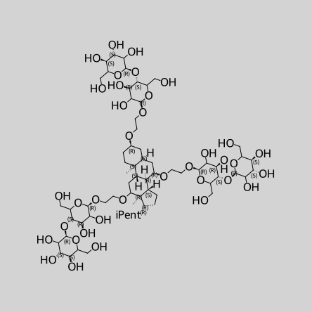 CCC[C@@H](C)[C@H]1CC[C@H]2[C@@H]3[C@H](OCCO[C@@H]4OC(CO)[C@@H](O[C@H]5OC(CO)[C@@H](O)[C@H](O)C5O)[C@H](O)C4O)C[C@@H]4C[C@H](OCCO[C@@H]5OC(CO)[C@@H](O[C@H]6OC(CO)[C@@H](O)[C@H](O)C6O)[C@H](O)C5O)CC[C@]4(C)[C@H]3CC(OCCO[C@@H]3OC(CO)[C@@H](O[C@H]4OC(CO)[C@@H](O)[C@H](O)C4O)[C@H](O)C3O)[C@]12C